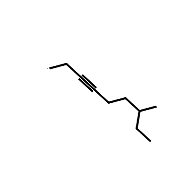 [CH2]CC#CCCC(C)CC